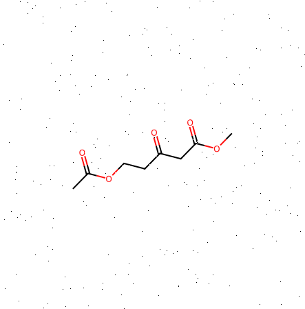 COC(=O)CC(=O)CCOC(C)=O